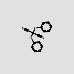 N#CC(C#N)(Oc1ccccc1)Oc1ccccc1